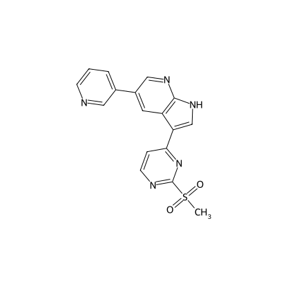 CS(=O)(=O)c1nccc(-c2c[nH]c3ncc(-c4cccnc4)cc23)n1